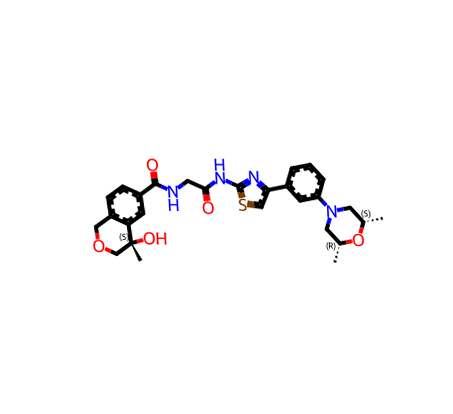 C[C@@H]1CN(c2cccc(-c3csc(NC(=O)CNC(=O)c4ccc5c(c4)[C@](C)(O)COC5)n3)c2)C[C@H](C)O1